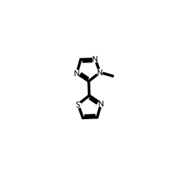 Cn1ncnc1-c1nccs1